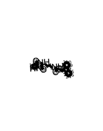 O=C(NCCCC[C@@H]1NC(=O)C2(CCCC2)NC1=O)OCC1c2ccccc2-c2ccccc21